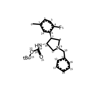 Cc1ccc(F)c([C@H]2CN(Cc3ccccc3)C[C@@H]2NC(=O)OC(C)(C)C)c1